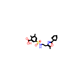 Cc1cc(S(=O)(=O)NCCc2nc(-c3ccccc3)oc2C)cc(C(=O)O)c1C